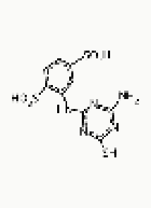 Nc1nc(S)nc(Nc2cc(S(=O)(=O)O)ccc2S(=O)(=O)O)n1